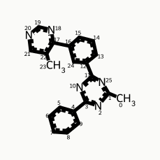 Cc1nc(-c2ccccc2)nc(-c2cccc(-c3ncncc3C)c2)n1